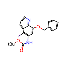 CC(C)(C)OC(=O)Nc1cc(OCc2ccccc2)c2ncccc2c1I